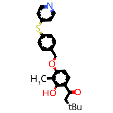 Cc1c(OCc2ccc(Sc3ccncc3)cc2)ccc(C(=O)CC(C)(C)C)c1O